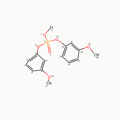 CCOP(=O)(Oc1cccc(OC#N)c1)Oc1cccc(OC#N)c1